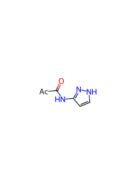 CC(=O)C(=O)Nc1cc[nH]n1